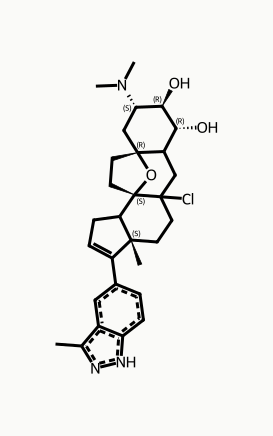 Cc1n[nH]c2ccc(C3=CCC4[C@@]56CC[C@]7(C[C@H](N(C)C)[C@@H](O)[C@H](O)C7CC5(Cl)CC[C@]34C)O6)cc12